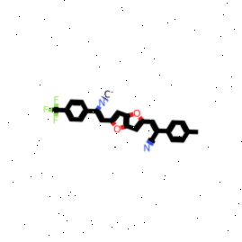 [C-]#[N+]/C(=C\c1cc2oc(/C=C(\C#N)c3ccc(C)cc3)cc2o1)c1ccc(C(F)(F)F)cc1